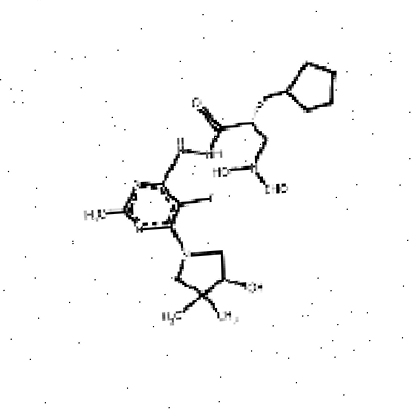 Cc1nc(NNC(=O)[C@H](CC2CCCC2)CN(O)C=O)c(F)c(N2C[C@@H](O)C(C)(C)C2)n1